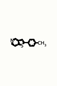 Cc1ccc(-c2cc3cnccc3s2)cc1